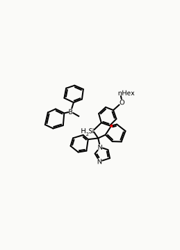 CB(c1ccccc1)c1ccccc1.CCCCCCOc1ccc([SiH2]C(c2ccccc2)(c2ccccc2)n2ccnc2)cc1